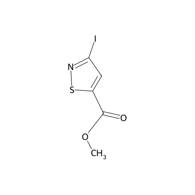 COC(=O)c1cc(I)ns1